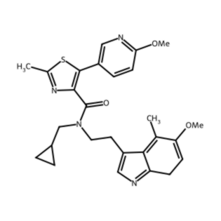 COC1=CCC2=NC=C(CCN(CC3CC3)C(=O)c3nc(C)sc3-c3ccc(OC)nc3)C2=C1C